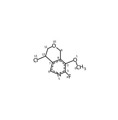 COc1c(F)ncc2c1COCC2Cl